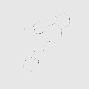 Cc1cccc2cc(C3NCc4ccccc4-n4cccc43)oc12.Cl